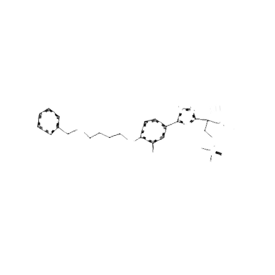 C[C@](N)(COP(=O)(O)O)c1nnc(-c2ccc(OCCCCOCc3ccccc3)c(C(F)(F)F)c2)s1